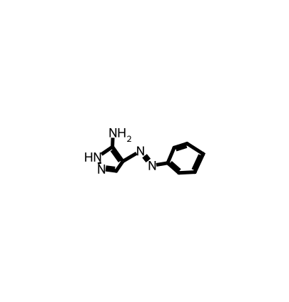 Nc1[nH]ncc1/N=N/c1ccccc1